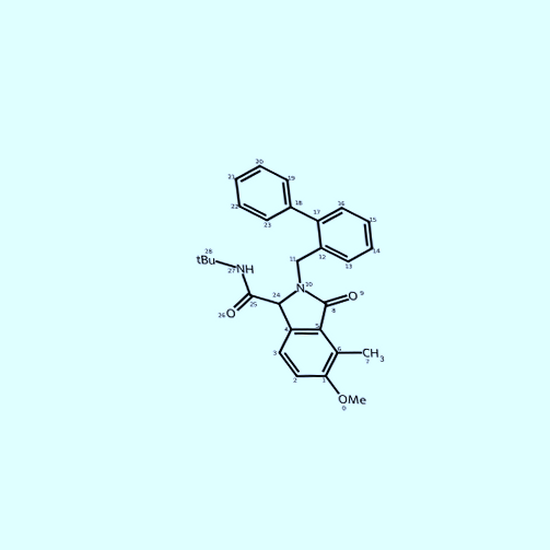 COc1ccc2c(c1C)C(=O)N(Cc1ccccc1-c1ccccc1)C2C(=O)NC(C)(C)C